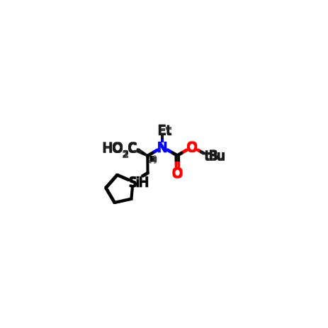 CCN(C(=O)OC(C)(C)C)[C@@H](C[SiH]1CCCC1)C(=O)O